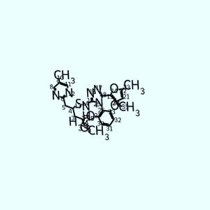 COCCC(Cc1ncc(C)cn1)SNc1nnc(-c2ccc(C)o2)n1-c1c(OC)cccc1OC